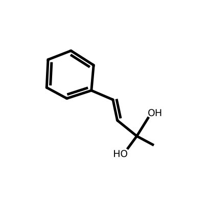 CC(O)(O)C=Cc1ccccc1